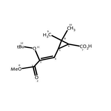 COC(=O)C(=CC1C(C(=O)O)C1(C)C)OC(C)(C)C